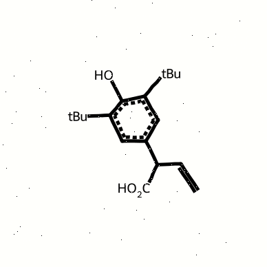 C=CC(C(=O)O)c1cc(C(C)(C)C)c(O)c(C(C)(C)C)c1